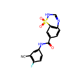 N#Cc1cc(NC(=O)c2ccc3c(c2)S(=O)(=O)NC=N3)ccc1F